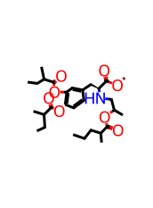 CCCC(C)C(=O)OC(C)CN[C@@H](Cc1ccc(OC(=O)C(C)CC)c(OC(=O)C(C)CC)c1)C(=O)OC